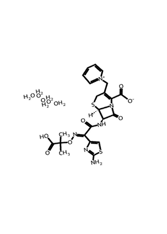 CC(C)(O/N=C(/C(=O)N[C@@H]1C(=O)N2C(C(=O)[O-])=C(C[n+]3ccccc3)CS[C@H]12)c1csc(N)n1)C(=O)O.O.O.O.O.O